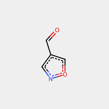 O=Cc1cnoc1